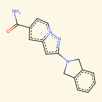 NC(=O)c1ccn2nc(N3Cc4ccccc4C3)cc2c1